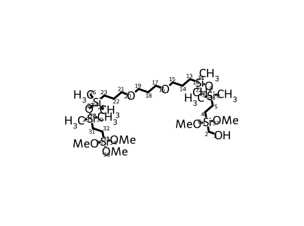 CO[Si](CO)(CC[Si](C)(C)O[Si](C)(C)CCCOCCCOCCC[Si](C)(C)O[Si](C)(C)CC[Si](OC)(OC)OC)OC